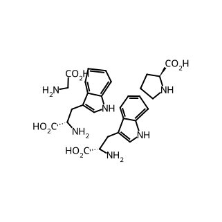 NCC(=O)O.N[C@@H](Cc1c[nH]c2ccccc12)C(=O)O.N[C@@H](Cc1c[nH]c2ccccc12)C(=O)O.O=C(O)[C@@H]1CCCN1